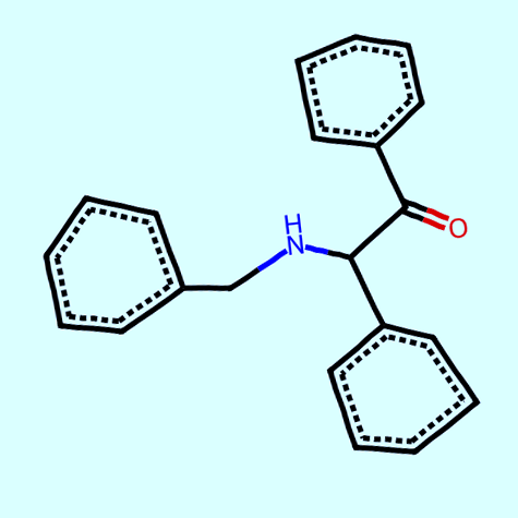 O=C(c1ccccc1)C(NCc1ccccc1)c1ccccc1